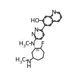 CNC1CCCC(F)[C@@H](N(C)c2ccc(-c3cc4cccnc4cc3O)nn2)C1